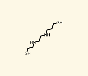 SCCCNCCNCCS